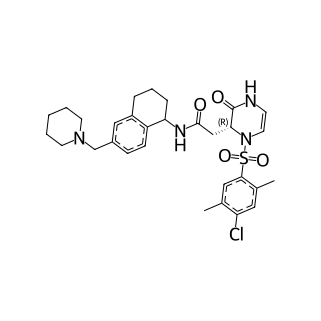 Cc1cc(S(=O)(=O)N2C=CNC(=O)[C@H]2CC(=O)NC2CCCc3cc(CN4CCCCC4)ccc32)c(C)cc1Cl